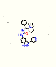 CN1CCCC[C@@H]1[C@H](NC(=O)Nc1ccc2[nH]nc(-c3ccncc3)c2c1)c1ccccc1